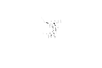 CCCCC#Cc1nc(N)c2ncn([C@@H]3O[C@H](CCl)[C@H]4OC(C)(C)O[C@H]43)c2n1